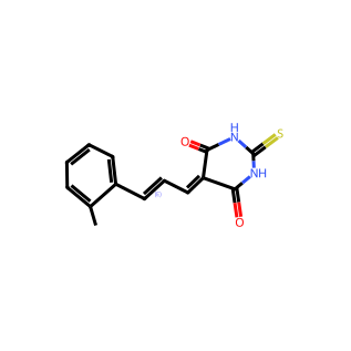 Cc1ccccc1/C=C/C=C1C(=O)NC(=S)NC1=O